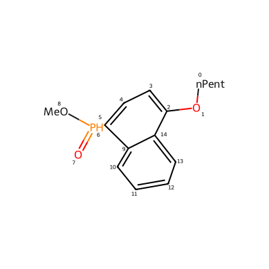 CCCCCOc1ccc([PH](=O)OC)c2ccccc12